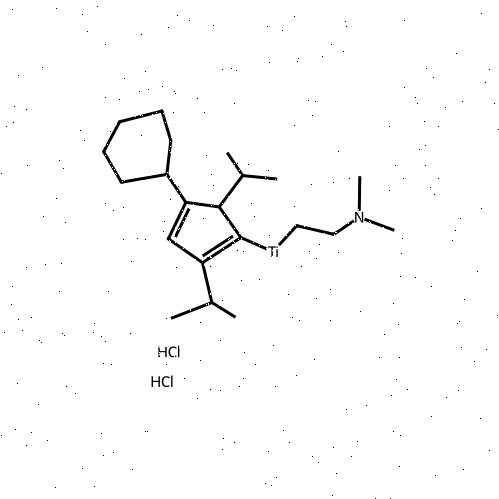 CC(C)C1=[C]([Ti][CH2]CN(C)C)C(C(C)C)C(C2CCCCC2)=C1.Cl.Cl